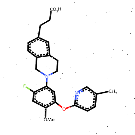 COc1cc(F)c(N2CCc3cc(CCC(=O)O)ccc3C2)cc1Oc1ccc(C)cn1